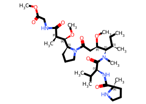 CC[C@H](C)[C@@H]([C@@H](CC(=O)N1CCC[C@H]1[C@H](OC)[C@@H](C)C(=O)NCC(=O)OC)OC)N(C)C(=O)[C@@H](NC(=O)[C@@]1(C)CCCN1)C(C)C